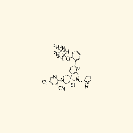 [2H]C([2H])([2H])C([2H])([2H])Oc1ccccc1-c1ccc2c(n1)CN(C[C@H]1CCCN1)C[C@]21CCN(c2ncc(Cl)cc2C#N)C[C@H]1CC